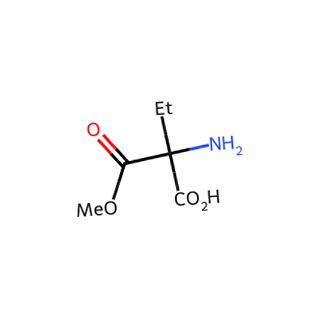 CCC(N)(C(=O)O)C(=O)OC